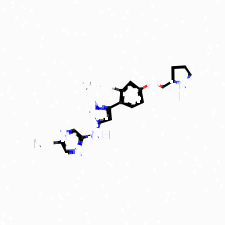 COc1cc(OCC2CCCN2)ccc1-c1cc(Nc2cnc(C#N)cn2)n[nH]1